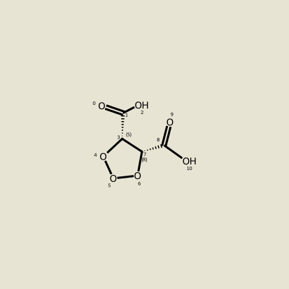 O=C(O)[C@H]1OOO[C@H]1C(=O)O